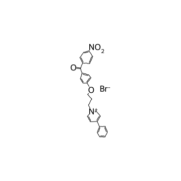 O=C(c1ccc(OCCC[n+]2ccc(-c3ccccc3)cc2)cc1)c1ccc([N+](=O)[O-])cc1.[Br-]